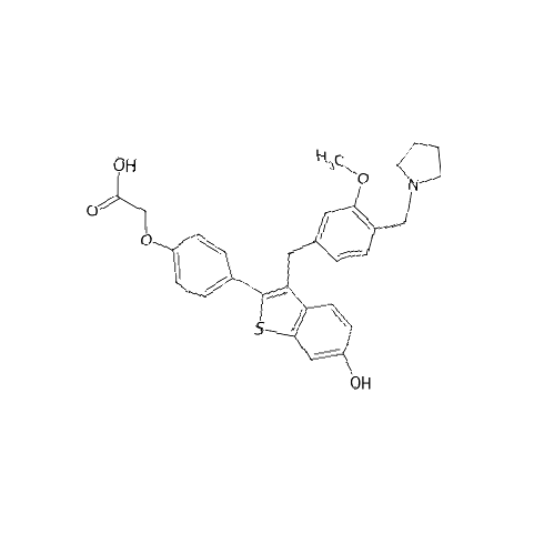 COc1cc(Cc2c(-c3ccc(OCC(=O)O)cc3)sc3cc(O)ccc23)ccc1CN1CCCC1